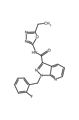 CCc1nnc(NC(=O)c2nn(Cc3ccccc3F)c3ncccc23)o1